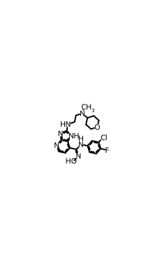 CN(CCNc1nc2nccc(/C(=N\O)Nc3ccc(F)c(Cl)c3)c2[nH]1)C1CCOCC1